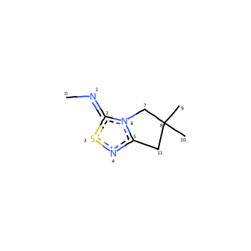 C/N=c1\snc2n1CC(C)(C)C2